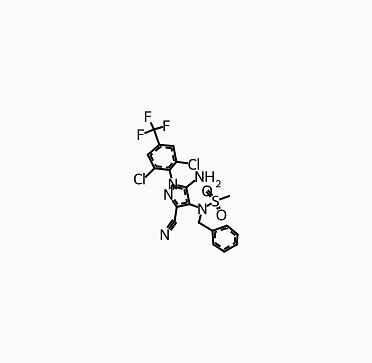 CS(=O)(=O)N(Cc1ccccc1)c1c(C#N)nn(-c2c(Cl)cc(C(F)(F)F)cc2Cl)c1N